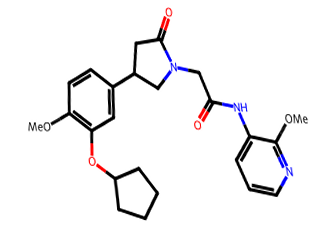 COc1ccc(C2CC(=O)N(CC(=O)Nc3cccnc3OC)C2)cc1OC1CCCC1